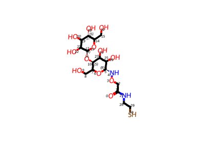 O=C(CON[C@@H]1OC(CO)[C@@H](O[C@H]2OC(CO)[C@@H](O)C(O)C2O)C(O)C1O)NCCS